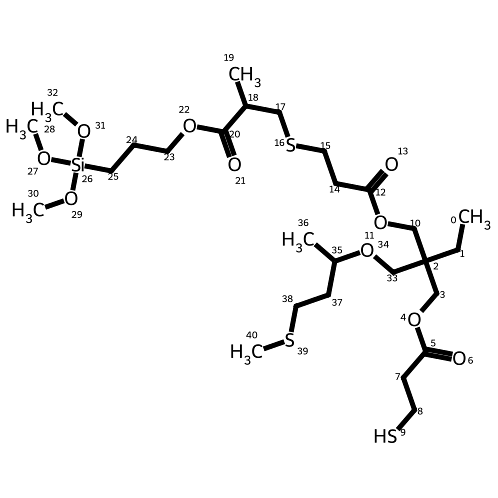 CCC(COC(=O)CCS)(COC(=O)CCSCC(C)C(=O)OCCC[Si](OC)(OC)OC)COC(C)CCSC